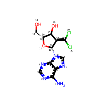 Nc1ncnc2c1ncn2[C@@H]1O[C@H](CO)C(O)C1=C(Cl)Cl